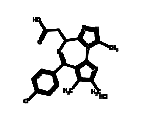 Cc1sc2c(c1C)C(c1ccc(Cl)cc1)=NC(CC(=O)O)c1nnc(C)n1-2.Cl